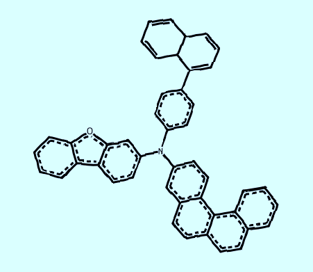 C1=CC2C=CC=C(c3ccc(N(c4ccc5c(ccc6ccc7ccccc7c65)c4)c4ccc5c(c4)oc4ccccc45)cc3)C2C=C1